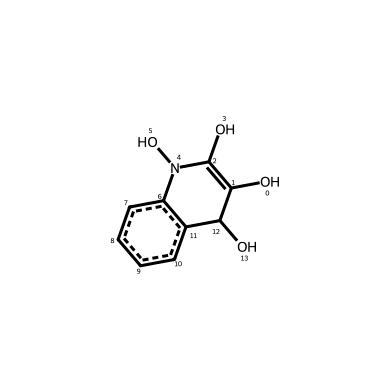 OC1=C(O)N(O)c2ccccc2C1O